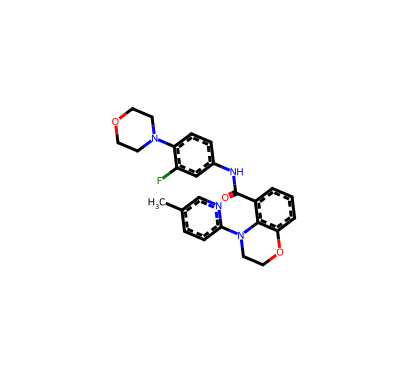 Cc1ccc(N2CCOc3cccc(C(=O)Nc4ccc(N5CCOCC5)c(F)c4)c32)nc1